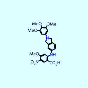 COc1cc(Nc2ccc3c(c2)CN(c2cc(OC)c(OC)c(OC)c2)C3)c(C(=O)O)cc1[N+](=O)[O-]